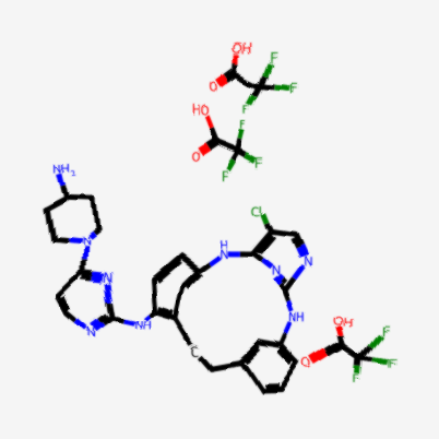 NC1CCN(c2ccnc(Nc3ccc4cc3CCc3cccc(c3)Nc3ncc(Cl)c(n3)N4)n2)CC1.O=C(O)C(F)(F)F.O=C(O)C(F)(F)F.O=C(O)C(F)(F)F